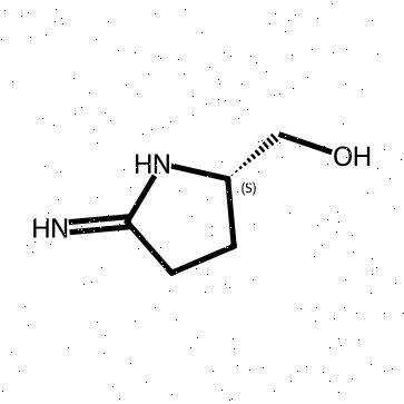 N=C1CC[C@@H](CO)N1